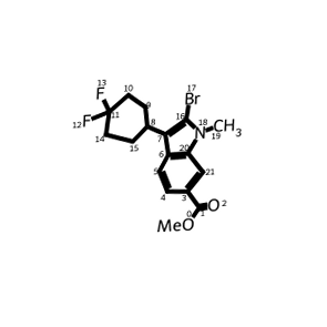 COC(=O)c1ccc2c(C3CCC(F)(F)CC3)c(Br)n(C)c2c1